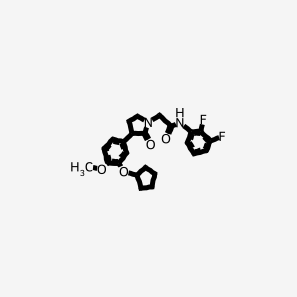 COc1ccc(C2CCN(CC(=O)Nc3cccc(F)c3F)C2=O)cc1OC1CCCC1